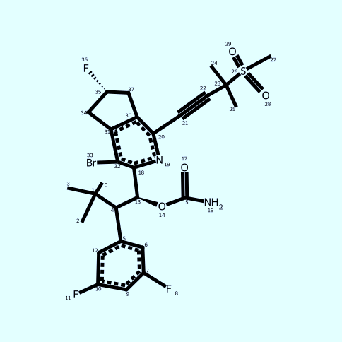 CC(C)(C)C(c1cc(F)cc(F)c1)[C@H](OC(N)=O)c1nc(C#CC(C)(C)S(C)(=O)=O)c2c(c1Br)C[C@H](F)C2